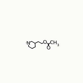 CC(=O)OCCC1CCC[N]C1